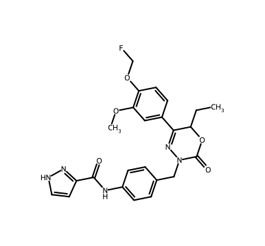 CCC1OC(=O)N(Cc2ccc(NC(=O)c3cc[nH]n3)cc2)N=C1c1ccc(OCF)c(OC)c1